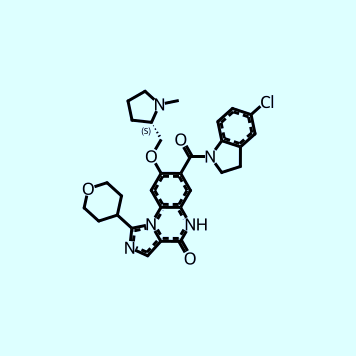 CN1CCC[C@H]1COc1cc2c(cc1C(=O)N1CCc3cc(Cl)ccc31)[nH]c(=O)c1cnc(C3CCOCC3)n12